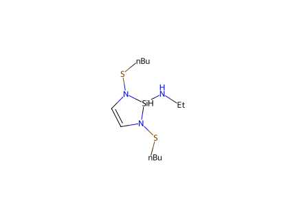 CCCCSN1C=CN(SCCCC)[SiH]1NCC